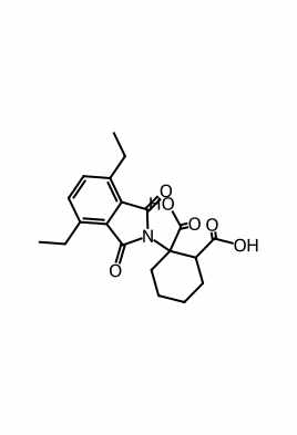 CCc1ccc(CC)c2c1C(=O)N(C1(C(=O)O)CCCCC1C(=O)O)C2=O